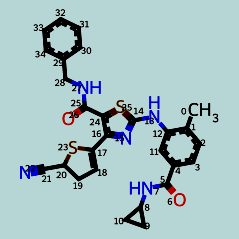 Cc1ccc(C(=O)NC2CC2)cc1Nc1nc(C2=CCC(C#N)S2)c(C(=O)NCc2ccccc2)s1